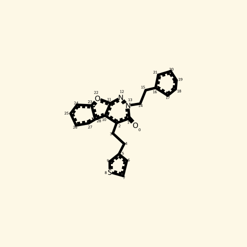 O=c1c(CCc2ccsc2)c2c(nn1CCc1ccccc1)oc1ccccc12